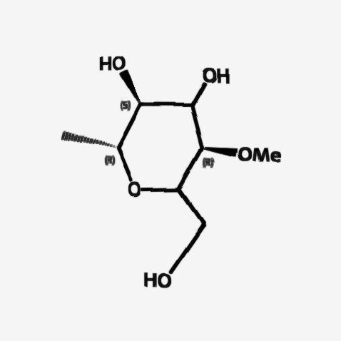 CO[C@H]1C(CO)O[C@H](C)[C@@H](O)C1O